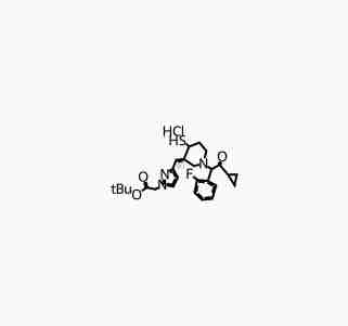 CC(C)(C)OC(=O)Cn1ccc(/C=C2\CN(C(C(=O)C3CC3)c3ccccc3F)CCC2S)n1.Cl